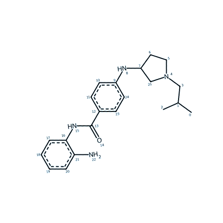 CC(C)CN1CCC(Nc2ccc(C(=O)Nc3ccccc3N)cc2)C1